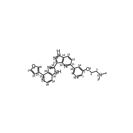 CN(C)CCOc1cncc(-c2ccc3[nH]nc(-c4nc5c(-c6ccoc6)nccc5[nH]4)c3n2)c1